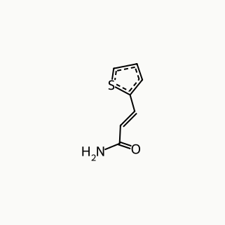 NC(=O)/C=C/c1cccs1